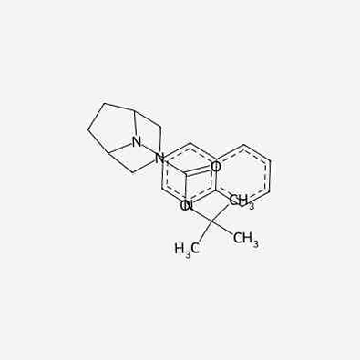 CC(C)(C)OC(=O)N1CC2CCC(C1)N2c1cnc2ccccc2c1